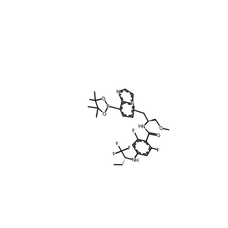 CC[C@@H](Nc1cc(F)c(C(=O)N[C@H](COC)Cc2ccc(B3OC(C)(C)C(C)(C)O3)c3nccn23)c(F)c1)C(F)(F)F